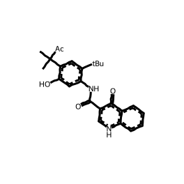 CC(=O)C(C)(C)c1cc(C(C)(C)C)c(NC(=O)c2c[nH]c3ccccc3c2=O)cc1O